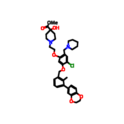 COC(=O)C1(O)CCN(CCOc2cc(OCc3cccc(-c4ccc5c(c4)OCCO5)c3C)c(Cl)cc2CN2CCCCC2)CC1